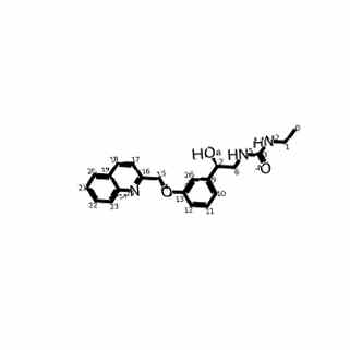 CCNC(=O)NC[C@H](O)c1cccc(OCc2ccc3ccccc3n2)c1